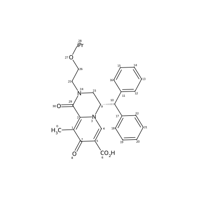 Cc1c2n(cc(C(=O)O)c1=O)[C@@H](C(c1ccccc1)c1ccccc1)CN(CCOC(C)C)C2=O